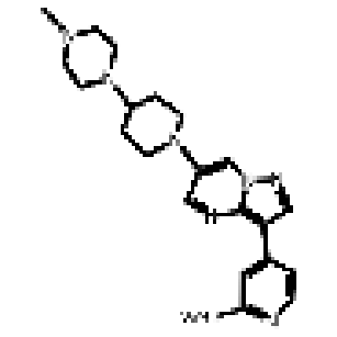 COc1cc(-c2cnn3cc(N4CCC(N5CCN(C)CC5)CC4)cnc23)ccn1